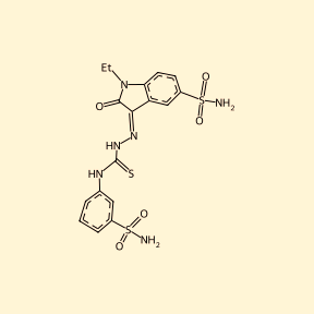 CCN1C(=O)C(=NNC(=S)Nc2cccc(S(N)(=O)=O)c2)c2cc(S(N)(=O)=O)ccc21